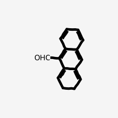 O=Cc1c2c(cc3ccccc13)=CCCC=2